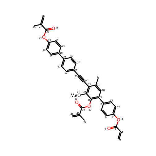 C=CC(=O)Oc1ccc(-c2cc(C)c(C#Cc3ccc(-c4ccc(OC(=O)C(=C)C)cc4)cc3)c(OC)c2OC(=O)C(=C)C)cc1